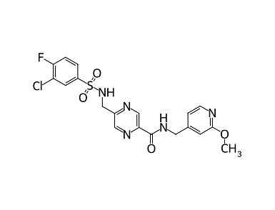 COc1cc(CNC(=O)c2cnc(CNS(=O)(=O)c3ccc(F)c(Cl)c3)cn2)ccn1